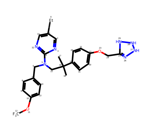 CCc1cnc(N(Cc2ccc(OC(F)(F)F)cc2)CC(C)(C)c2ccc(OCC3=NNNN3)cc2)nc1